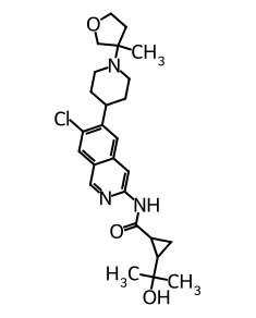 CC(C)(O)C1CC1C(=O)Nc1cc2cc(C3CCN(C4(C)CCOC4)CC3)c(Cl)cc2cn1